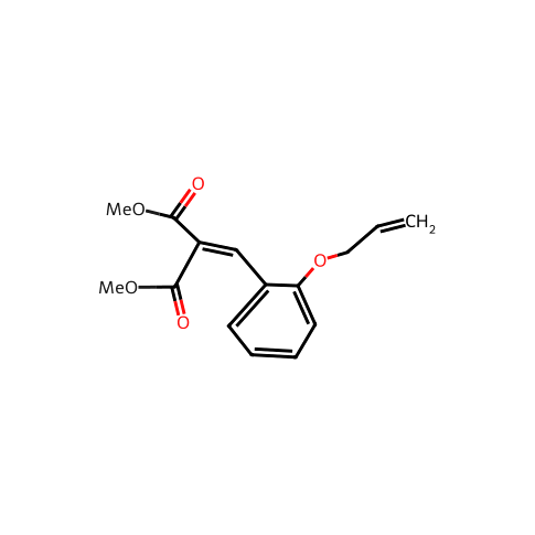 C=CCOc1ccccc1C=C(C(=O)OC)C(=O)OC